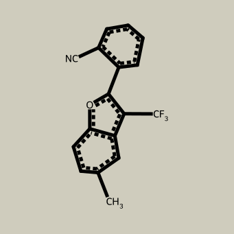 Cc1ccc2oc(-c3ccccc3C#N)c(C(F)(F)F)c2c1